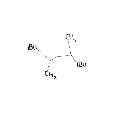 CC[C](C)C(C)C(C)C(C)CC